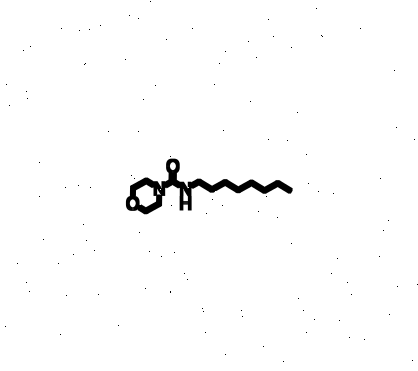 CCCCCCCCNC(=O)N1CCOCC1